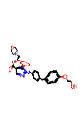 O=C(O)c1cnn(-c2ccc(-c3ccc(OCCO)cc3)cc2)c1OCCN1CCOCC1